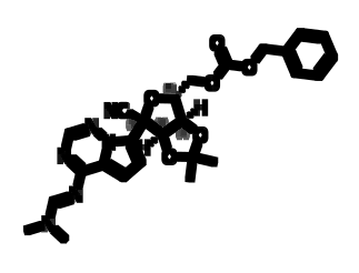 CN(C)C=Nc1ncnn2c([C@]3(C#N)O[C@H](COC(=O)OCc4ccccc4)[C@H]4OC(C)(C)O[C@H]43)ccc12